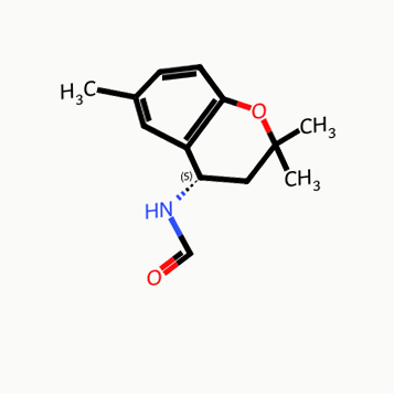 Cc1ccc2c(c1)[C@@H](NC=O)CC(C)(C)O2